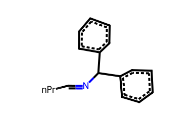 CCCC=NC(c1ccccc1)c1ccccc1